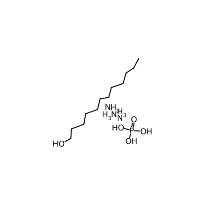 CCCCCCCCCCCCO.N.N.N.O=P(O)(O)O